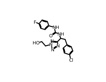 O=C(Nc1ccc(F)cc1)NC(Cc1ccc(Cl)cc1)c1nnn(CCO)n1